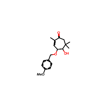 COc1ccc(COC2C=C(C)C(=O)CC(C)(C)C2O)cc1